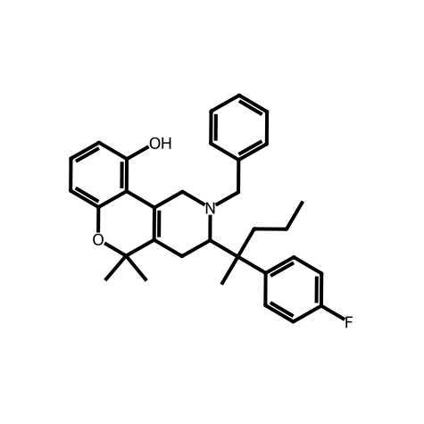 CCCC(C)(c1ccc(F)cc1)C1CC2=C(CN1Cc1ccccc1)c1c(O)cccc1OC2(C)C